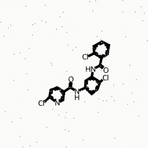 O=C(Nc1ccc(Cl)c(NC(=O)c2ccccc2Cl)c1)c1ccc(Cl)nc1